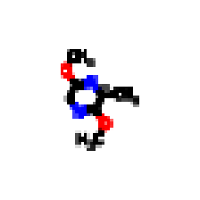 COC1=N[C@@H](C)C(OC)=NC1